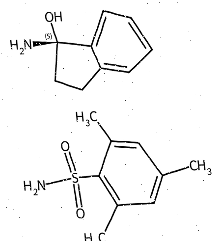 Cc1cc(C)c(S(N)(=O)=O)c(C)c1.N[C@]1(O)CCc2ccccc21